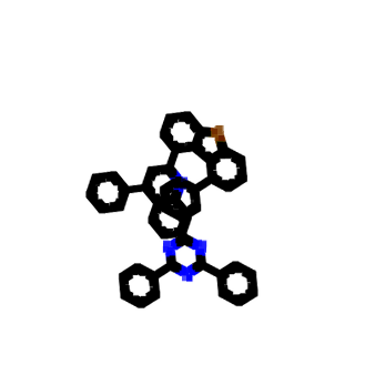 c1ccc(-c2nc(-c3ccccc3)nc(-c3cccc(-c4cccc5sc6cccc(-c7cc(-c8ccccc8)c8ccccc8n7)c6c45)c3)n2)cc1